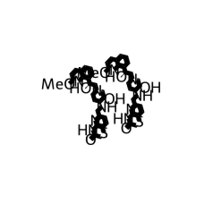 COc1ccc2cccc([C@@H](O)CN3CC[C@@H](NCc4ccc5c(n4)NC(=O)CS5)[C@H](O)C3)c2n1.COc1ccc2cccc([C@@H](O)CN3CC[C@H](NCc4ccc5c(n4)NC(=O)CS5)[C@@H](O)C3)c2n1